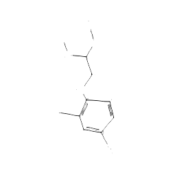 CCOC(COc1ccc(N)cc1Cl)OCC